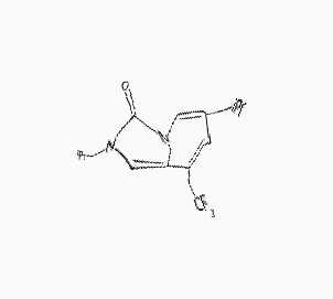 CC(C)c1cc(C(F)(F)F)c2cn(C(C)C)c(=O)n2c1